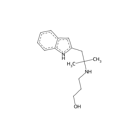 CC(C)(Cc1cc2ccccc2[nH]1)NCCCO